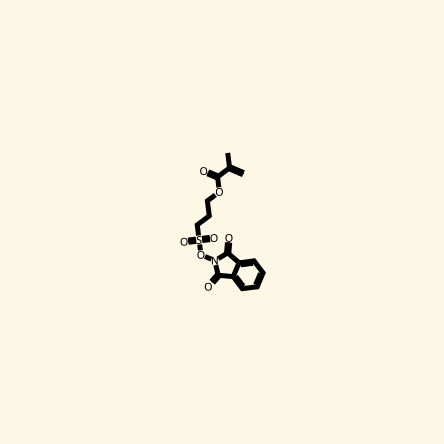 C=C(C)C(=O)OCCCS(=O)(=O)ON1C(=O)c2ccccc2C1=O